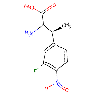 C[C@@H](c1ccc([N+](=O)[O-])c(F)c1)C(N)C(=O)O